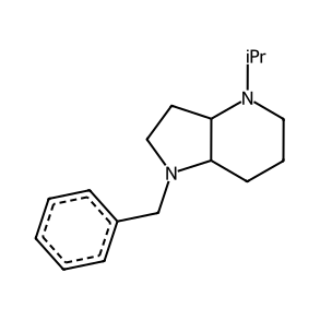 CC(C)N1CCCC2C1CCN2Cc1ccccc1